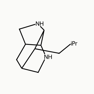 CC(C)CC1C2CNC3C(CNC13)C2